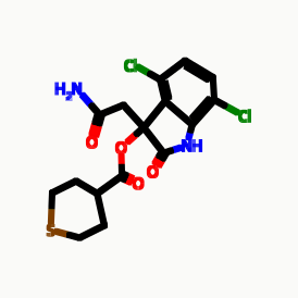 NC(=O)CC1(OC(=O)C2CCSCC2)C(=O)Nc2c(Cl)ccc(Cl)c21